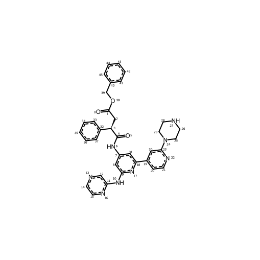 O=C(C[C@@H](C(=O)Nc1cc(Nc2cnccn2)nc(-c2ccnc(N3CCNCC3)c2)c1)c1ccccc1)OCc1ccccc1